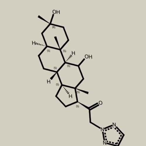 C[C@@]1(O)CC[C@@]2(C)[C@@H](CC[C@H]3[C@@H]4CC[C@H](C(=O)Cn5nccn5)[C@@]4(C)CC(O)[C@@H]32)C1